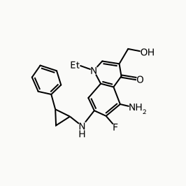 CCn1cc(CO)c(=O)c2c(N)c(F)c(NC3CC3c3ccccc3)cc21